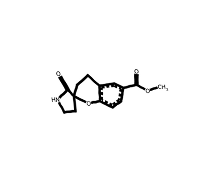 COC(=O)c1ccc2c(c1)CCC1(CCNC1=O)O2